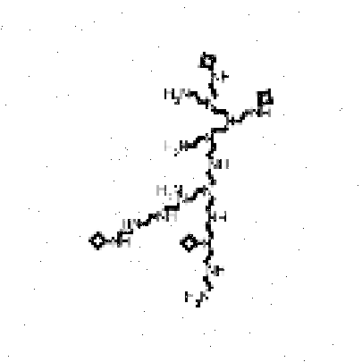 NCCNCCN(CCNCCN(CCNCCN(CCN)CCN(CCNC1CCC1)CCN(CCN)CCNC1CCC1)CCN(N)CCNCCNCCNC1CCC1)C1CCC1